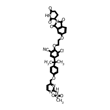 CC(C)(c1ccc(OCc2ccnc(NS(C)(=O)=O)n2)cc1)c1cc(Cl)c(OCCOc2ccc3c(c2)C(=O)N(C2CCC(=O)NC2=O)C3=O)c(C#N)c1